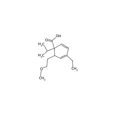 CCC1=CC(CCOC)C(C(=O)O)(C(C)C)C=C1